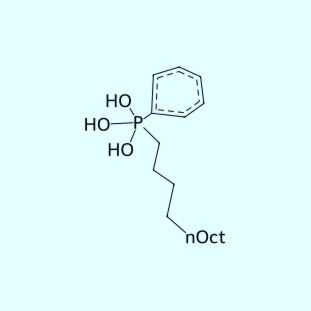 CCCCCCCCCCCCP(O)(O)(O)c1ccccc1